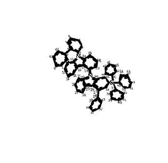 c1ccc(-c2ccccc2-n2c3ccccc3c3c(-n4c5ccccc5c5c(-c6ccccc6)cc([Si](c6ccccc6)(c6ccccc6)c6ccccc6)cc54)cccc32)cc1